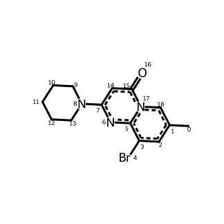 Cc1cc(Br)c2nc(N3CCCCC3)cc(=O)n2c1